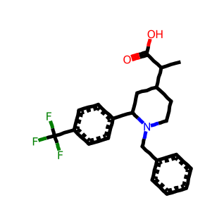 CC(C(=O)O)C1CCN(Cc2ccccc2)C(c2ccc(C(F)(F)F)cc2)C1